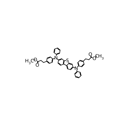 COC(=O)CCc1ccc(N(c2ccccc2)c2ccc3c(c2)sc2cc(N(c4ccccc4)c4ccc(CCC(=O)OC)cc4)ccc23)cc1